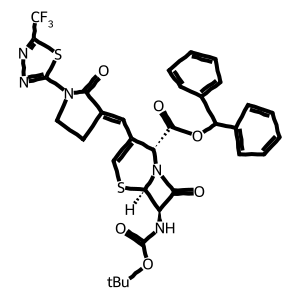 CC(C)(C)OC(=O)N[C@@H]1C(=O)N2[C@@H](C(=O)OC(c3ccccc3)c3ccccc3)C(C=C3CCN(c4nnc(C(F)(F)F)s4)C3=O)=CS[C@H]12